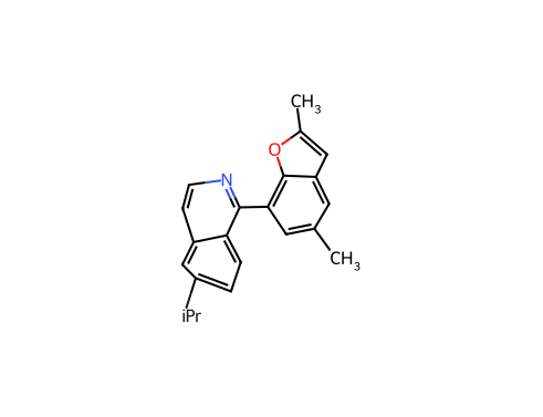 Cc1cc(-c2nccc3cc(C(C)C)ccc23)c2oc(C)cc2c1